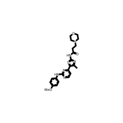 COc1ccc(Nc2nccc(-c3sc(NC(=O)CCN4CCOCC4)nc3C)n2)cc1